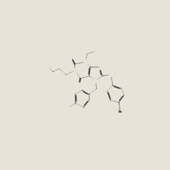 CCn1c(=O)n(CCCO)c(=O)c2c1nc(Oc1ccc(C#N)cc1)n2Cc1ccc(Cl)cc1